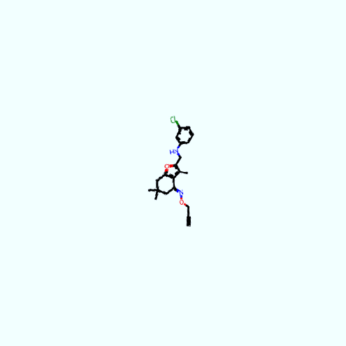 C#CCO/N=C1\CC(C)(C)Cc2oc(CNc3cccc(Cl)c3)c(C)c21